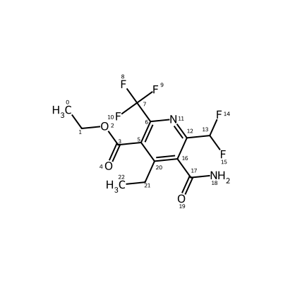 CCOC(=O)c1c(C(F)(F)F)nc(C(F)F)c(C(N)=O)c1CC